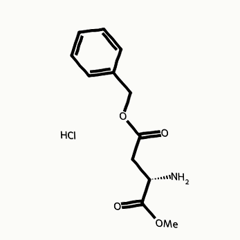 COC(=O)[C@@H](N)CC(=O)OCc1ccccc1.Cl